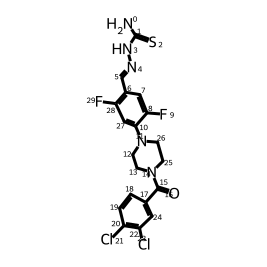 NC(=S)NN=Cc1cc(F)c(N2CCN(C(=O)c3ccc(Cl)c(Cl)c3)CC2)cc1F